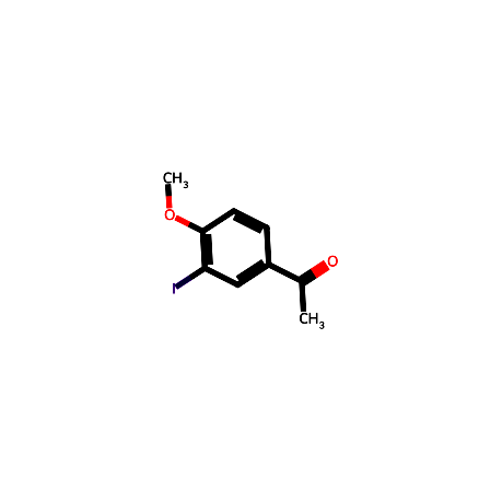 COc1ccc(C(C)=O)cc1I